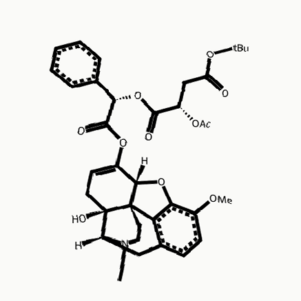 COc1ccc2c3c1O[C@H]1C(OC(=O)[C@@H](OC(=O)[C@H](CC(=O)OC(C)(C)C)OC(C)=O)c4ccccc4)=CC[C@@]4(O)[C@@H](C2)N(C)CC[C@]314